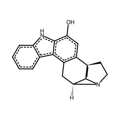 Oc1cc2c(c3c1[nH]c1ccccc13)C[C@@H]1N3CC[C@]24CCCC[C@@]134